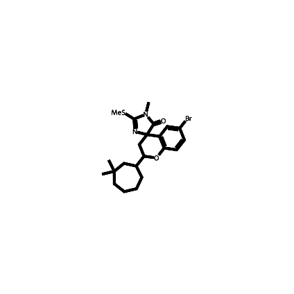 CSC1=NC2(CC(C3CCCCC(C)(C)C3)Oc3ccc(Br)cc32)C(=O)N1C